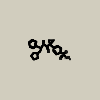 NS(=O)(=O)c1ccc(C2(C(=O)NC(CN3CCCC3)c3ccccc3)CC2)cc1